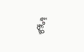 O=C(Nc1cccc(-n2cnc3ccccc32)c1)c1cccc(-c2ncc[nH]2)c1